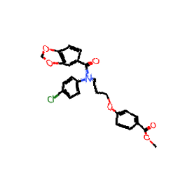 COC(=O)c1ccc(OCCCN(C(=O)c2ccc3c(c2)OCO3)c2ccc(Cl)cc2)cc1